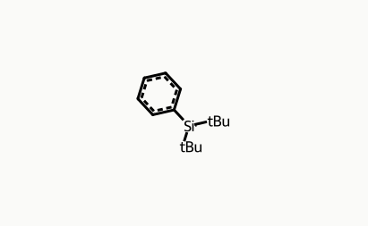 CC(C)(C)[Si](c1ccccc1)C(C)(C)C